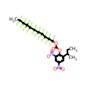 CCC(C)c1cc([N+](=O)[O-])cc([N+](=O)[O-])c1OC(=O)OC(F)(F)C(F)(F)C(F)(F)C(F)(F)C(F)(F)C(F)(F)C(F)(F)C(F)(F)C(F)(F)C(C)(F)F